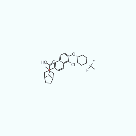 CC(c1ccc2c(Cl)c(O[C@H]3CC[C@@H](C(C)(F)F)CC3)ccc2c1)N1C2CCC1CC(C(=O)O)C2